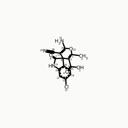 CC1=C(C(=O)O)C2(C(=O)Nc3cc(Cl)ccc32)C(C#N)=C(N)O1